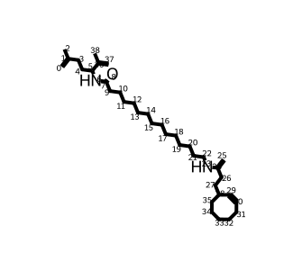 C=C(C)CCC(NC(=O)CCCCCCCCCCCCCCNC(=C)CCC1C#CCCCCC1)C(=C)C